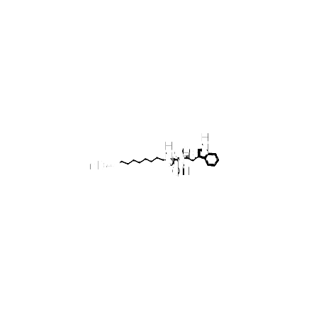 CCCCCCCCCCCCCCCCCCN[C@](C=O)(NC(=O)Cc1c[nH]c2ccccc12)[C@@H](C)O